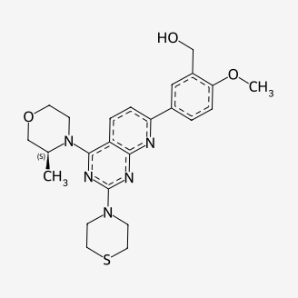 COc1ccc(-c2ccc3c(N4CCOC[C@@H]4C)nc(N4CCSCC4)nc3n2)cc1CO